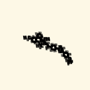 CCCc1ccc(C)cc1N1CCS/C1=N\C(O)N/C=C(\F)c1ccc(-c2ncn(-c3ccc(OC(F)(F)F)cc3)n2)cc1